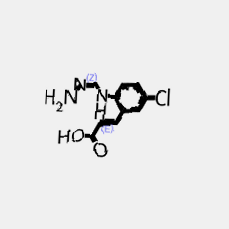 N/N=C\Nc1ccc(Cl)cc1/C=C/C(=O)O